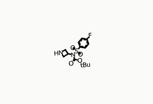 CC(C)(C)OC(=O)N(C1CNC1)S(=O)(=O)c1ccc(F)cc1